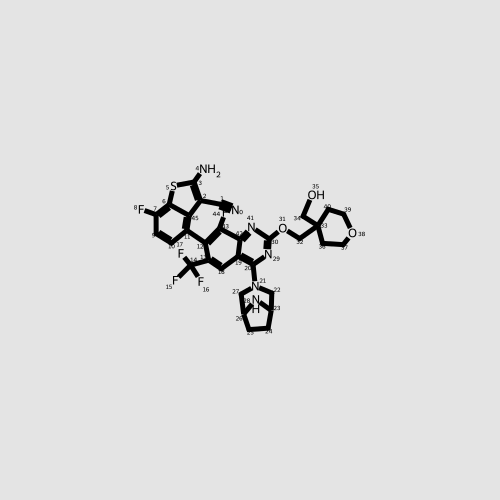 N#Cc1c(N)sc2c(F)ccc(-c3c(C(F)(F)F)cc4c(N5CC6CCC(C5)N6)nc(OCC5(CO)CCOCC5)nc4c3F)c12